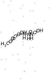 CCOCc1cc2cc(OCC(O)CNCCNC(=O)Nc3ccc(O)cc3)ccc2o1